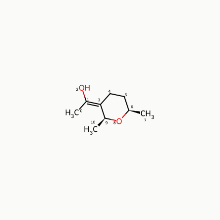 C/C(O)=C1/CC[C@@H](C)O[C@H]1C